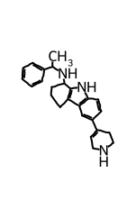 CC(NC1CCCc2c1[nH]c1ccc(C3=CCNCC3)cc21)c1ccccc1